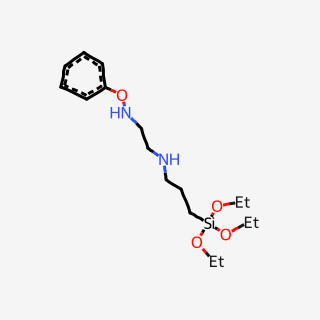 CCO[Si](CCCNCCNOc1ccccc1)(OCC)OCC